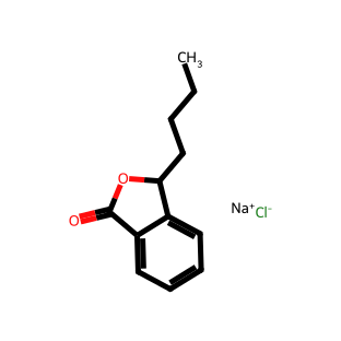 CCCCC1OC(=O)c2ccccc21.[Cl-].[Na+]